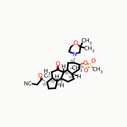 CC1(C)CN([C@H]2C[C@@]3(C)[C@@H](CC[C@H]4[C@@H]5CC[C@H](C(=O)CC#N)[C@@]5(C)CC(=O)[C@@H]43)C[C@@H]2OS(C)(=O)=O)CCO1